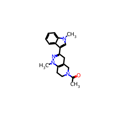 CC(=O)N1CCC2=C(CC(c3cn(C)c4ccccc34)=NN2C)C1